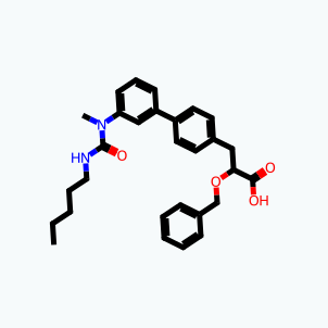 CCCCCNC(=O)N(C)c1cccc(-c2ccc(CC(OCc3ccccc3)C(=O)O)cc2)c1